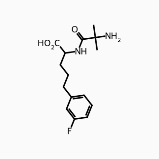 CC(C)(N)C(=O)NC(CCCc1cccc(F)c1)C(=O)O